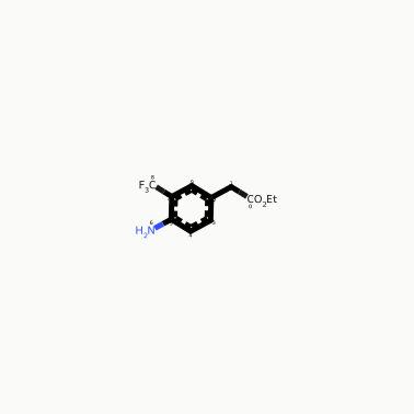 CCOC(=O)Cc1ccc(N)c(C(F)(F)F)c1